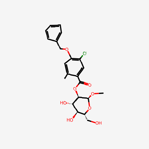 CO[C@H]1O[C@H](CO)[C@@H](O)[C@H](O)[C@H]1OC(=O)c1cc(Cl)c(OCc2ccccc2)cc1C